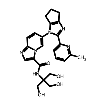 Cc1cccc(-c2nc3c(n2-c2ccc4ncc(C(=O)NC(CO)(CO)CO)n4c2)CCC3)n1